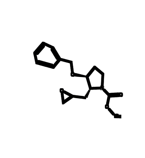 CC(C)(C)OC(=O)N1CC[C@H](OCc2ccccc2)[C@H]1CC1CO1